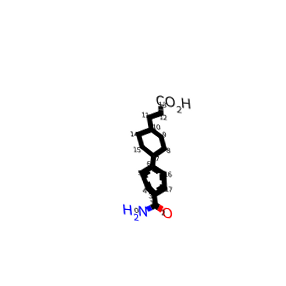 NC(=O)c1ccc(C2CCC(CCC(=O)O)CC2)cc1